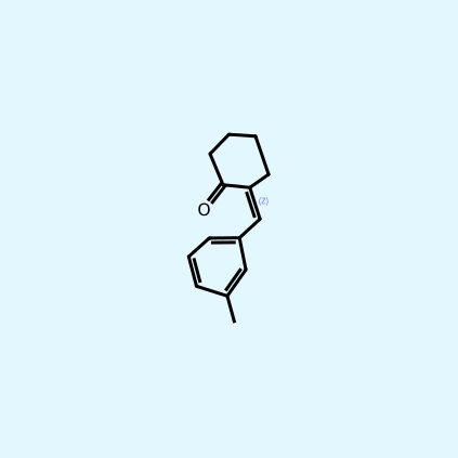 Cc1cccc(/C=C2/CCCCC2=O)c1